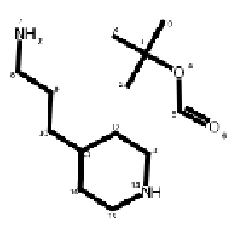 CC(C)(C)OC=O.NCCCC1CCNCC1